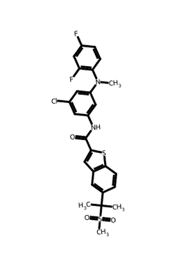 CN(c1cc(Cl)cc(NC(=O)c2cc3cc(C(C)(C)S(C)(=O)=O)ccc3s2)c1)c1ccc(F)cc1F